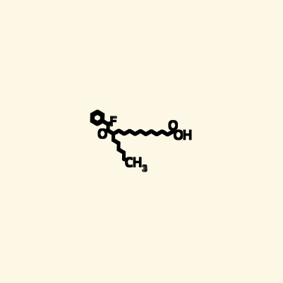 CCCCCCC(CCCCCCCCCCC(=O)O)C(=O)C(F)c1ccccc1